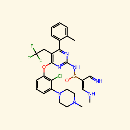 CN/C=C(\C=N)[S+]([O-])Nc1nc(Oc2cccc(N3CCN(C)CC3)c2Cl)c(CC(F)(F)F)c(-c2ccccc2C)n1